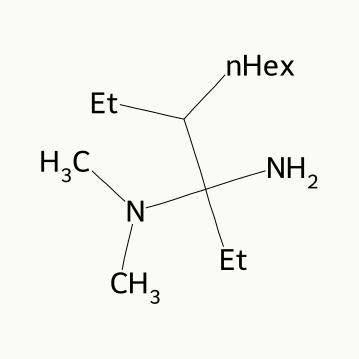 CCCCCCC(CC)C(N)(CC)N(C)C